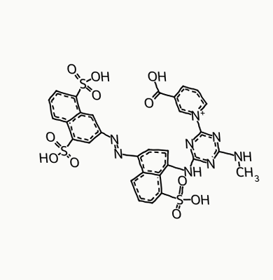 CNc1nc(Nc2ccc(N=Nc3cc(S(=O)(=O)O)c4cccc(S(=O)(=O)O)c4c3)c3cccc(S(=O)(=O)O)c23)nc(-[n+]2cccc(C(=O)O)c2)n1